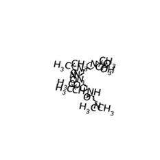 CC(C)c1cnn2c(N(Cc3cccc(NC(=O)/C=C/CN(C)C)c3)C(=O)OC(C)(C)C)cc(C3=CCN(CC(C)(C)C(=O)O)CC3)nc12